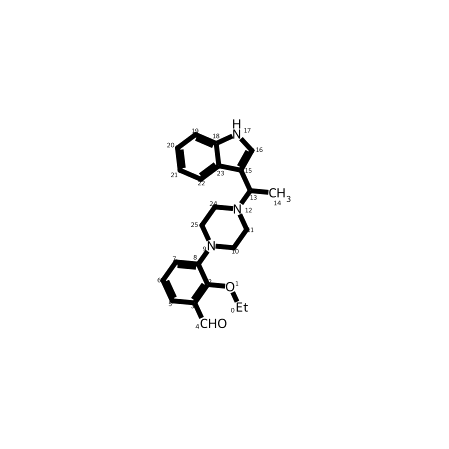 CCOc1c(C=O)cccc1N1CCN(C(C)c2c[nH]c3ccccc23)CC1